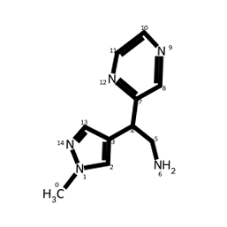 Cn1cc(C(CN)c2cnccn2)cn1